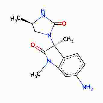 C[C@@H]1CN([C@]2(C)C(=O)N(C)c3cc(N)ccc32)C(=O)N1